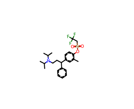 Cc1cc(C(CCN(C(C)C)C(C)C)c2ccccc2)ccc1OS(=O)(=O)CC(F)(F)F